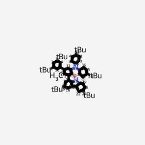 Cc1c(-c2cc(C(C)(C)C)cc(C(C)(C)C)c2)cc2c3c1-c1cc(C(C)(C)C)cc4c5cc(C(C)(C)C)ccc5n(c14)B3c1cc(C(C)(C)C)ccc1N2c1ccc(C(C)(C)C)cc1